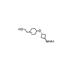 CC(=O)N[C@H]1C[C@H](OC2CCN(CCO)CC2)C1